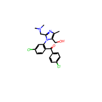 Cc1nc(CN(C)C)n(-c2cc(Cl)ccc2C(=O)c2ccc(Cl)cc2)c1CO